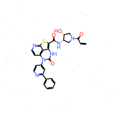 C=CC(=O)N1C[C@@H](O)[C@@H](NC(=O)c2sc3nccc4c3c2NC(=O)N4c2ccnc(-c3ccccc3)c2)C1